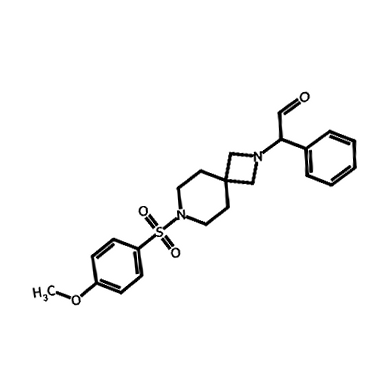 COc1ccc(S(=O)(=O)N2CCC3(CC2)CN(C(C=O)c2ccccc2)C3)cc1